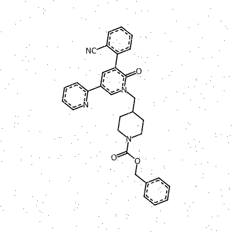 N#Cc1ccccc1-c1cc(-c2ccccn2)cn(CC2CCN(C(=O)OCc3ccccc3)CC2)c1=O